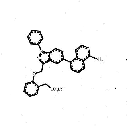 CCOC(=O)Cc1ccccc1OCc1nn(-c2ccccc2)c2ccc(-c3cccc4c(N)nccc34)cc12